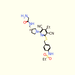 CCc1c(C#N)c(SCc2ccc(NS(=O)(=O)CC)cc2)nc(N2CC[C@H](CNC(=O)CN)C2)c1C#N